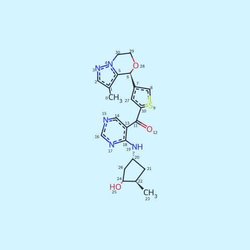 Cc1cnn2c1[C@H](c1csc(C(=O)c3cncnc3N[C@@H]3C[C@@H](C)[C@H](O)C3)c1)OCC2